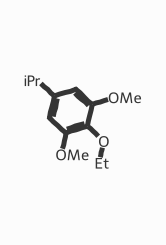 CCOc1c(OC)cc(C(C)C)cc1OC